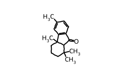 Cc1ccc2c(c1)C1(C)CCCC(C)(C)C1C2=O